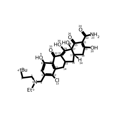 CCN(CCC(C)(C)C)Cc1cc(O)c2c(c1Cl)CC1C[C@H]3CC(O)=C(C(N)=O)C(=O)[C@@]3(O)C(O)=C1C2=O